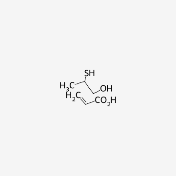 C=CC(=O)O.CC(S)CO